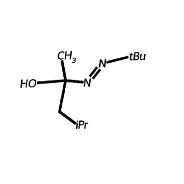 CC(C)CC(C)(O)N=NC(C)(C)C